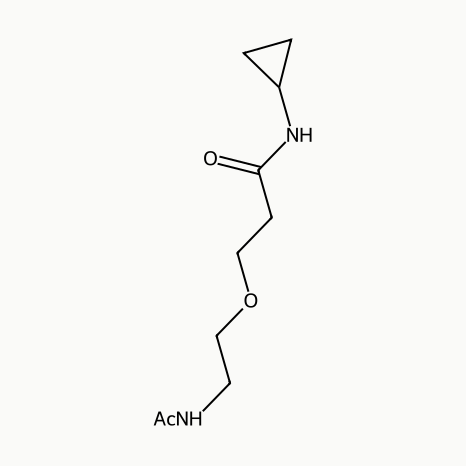 CC(=O)NCCOCCC(=O)NC1CC1